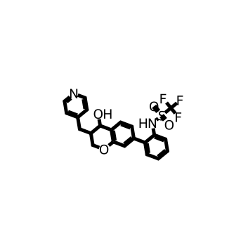 O=S(=O)(Nc1ccccc1-c1ccc2c(c1)OCC(Cc1ccncc1)C2O)C(F)(F)F